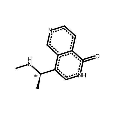 CN[C@H](C)c1c[nH]c(=O)c2ccncc12